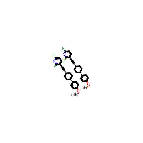 CCCCOc1ccc([C@H]2CC[C@H](C#Cc3ccc(F)nc3F)CC2)cc1.CCCOc1ccc([C@H]2CC[C@H](C#Cc3ccc(F)nc3F)CC2)cc1